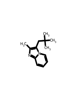 Cc1nc2ccccn2c1CC(C)(C)C